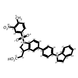 Cc1ccc(S(=O)(=O)N2CC(CC(=O)O)c3cc(-c4ccc(-n5ccc6ccccc65)cc4)ccc32)cc1[N+](=O)[O-]